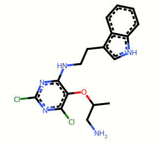 CC(CN)Oc1c(Cl)nc(Cl)nc1NCCc1c[nH]c2ccccc12